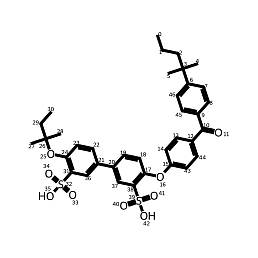 CCCC(C)(C)c1ccc(C(=O)c2ccc(Oc3ccc(-c4ccc(OC(C)(C)CC)c(S(=O)(=O)O)c4)cc3S(=O)(=O)O)cc2)cc1